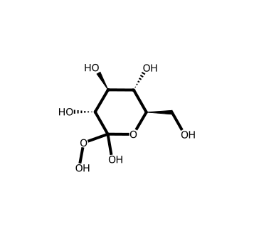 OC[C@H]1OC(O)(OO)[C@H](O)[C@@H](O)[C@@H]1O